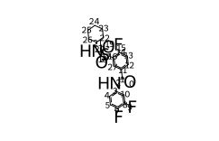 O=C(Nc1ccc(F)c(F)c1)c1ccc(F)c(S(=O)(=O)NC2CCCCC2)c1